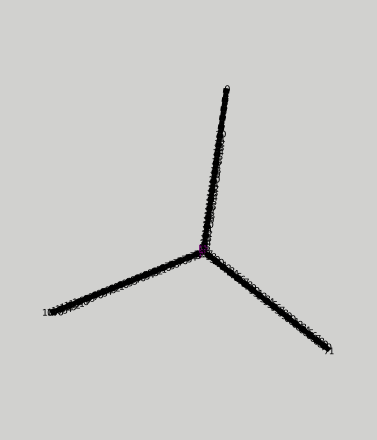 C#CC#CC#CC#CC#CC#CC#CC#CC#CC#CC#CC#CC#CC#CC#CC#CC#CC#CP(C#CC#CC#CC#CC#CC#CC#CC#CC#CC#CC#CC#CC#CC#CC#CC#CC#CC)C#CC#CC#CC#CC#CC#CC#CC#CC#CC#CC#CC#CC#CC#CC#CC#CC#CC#C